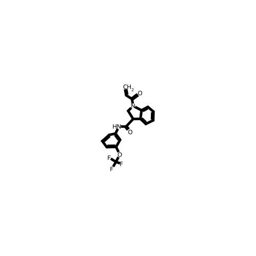 C=CC(=O)N1CC(C(=O)Nc2cccc(OC(F)(F)F)c2)c2ccccc21